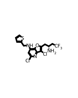 N[C@H](Cc1oc2c(NCc3cccs3)cc(Cl)nc2c1Cl)CC(F)(F)F